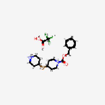 O=C(O)C(F)(F)F.O=C(OCc1ccccc1)N1CCC(SC2CCNCC2)CC1